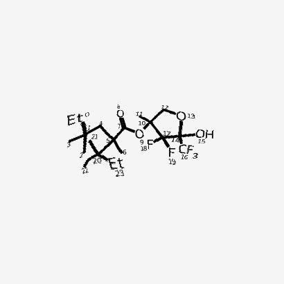 CCC(C)(C)CC(C)(C(=O)OC1(C)COC(O)(C(F)(F)F)C1(F)F)C(C)(C)CC